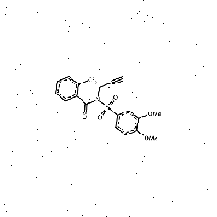 C#CCN(C(=O)c1ccccc1C(F)(F)F)S(=O)(=O)c1ccc(OC)c(OC)c1